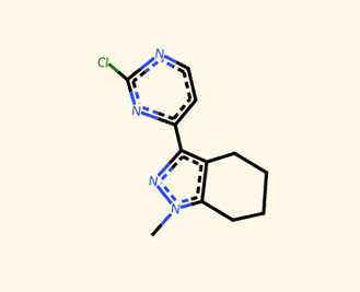 Cn1nc(-c2ccnc(Cl)n2)c2c1CCCC2